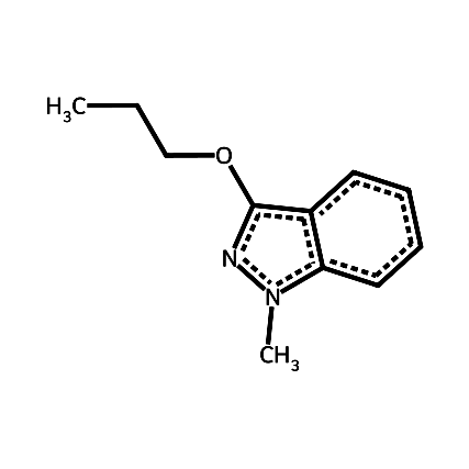 CCCOc1nn(C)c2ccccc12